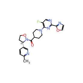 Cc1ccc([C@@H]2CCON2C(=O)C2CCN(c3nc(-c4ncco4)ncc3F)CC2)cn1